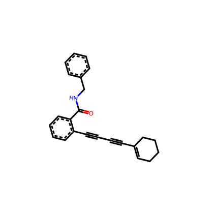 O=C(NCc1ccccc1)c1ccccc1C#CC#CC1=CCCCC1